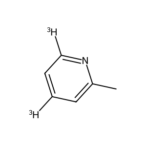 [3H]c1cc([3H])nc(C)c1